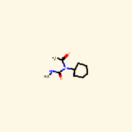 CNC(=O)N(C(C)=O)C1CCCCC1